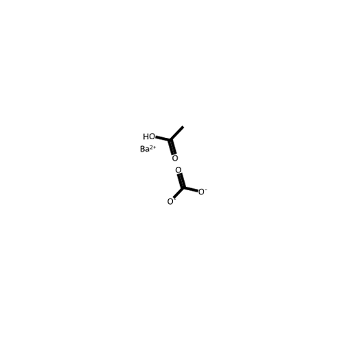 CC(=O)O.O=C([O-])[O-].[Ba+2]